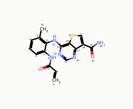 C=CC(=O)Nc1cccc(C)c1Nc1ncnc2c(C(N)=O)csc12